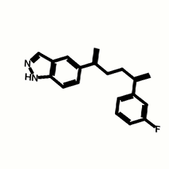 C=C(CCC(=C)c1ccc2[nH]ncc2c1)c1cccc(F)c1